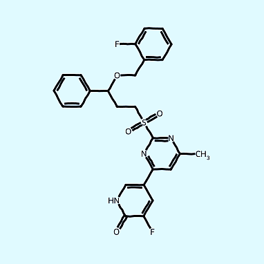 Cc1cc(-c2c[nH]c(=O)c(F)c2)nc(S(=O)(=O)CCC(OCc2ccccc2F)c2ccccc2)n1